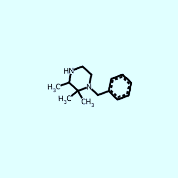 CC1NCCN(Cc2ccccc2)C1(C)C